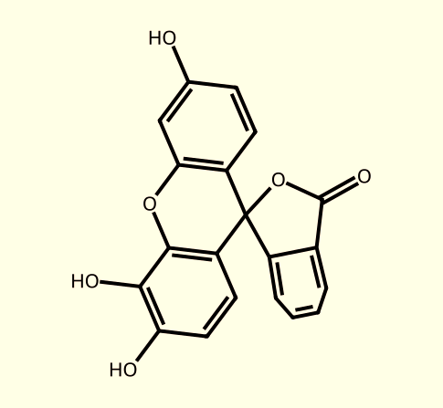 O=C1OC2(c3ccc(O)cc3Oc3c2ccc(O)c3O)c2ccccc21